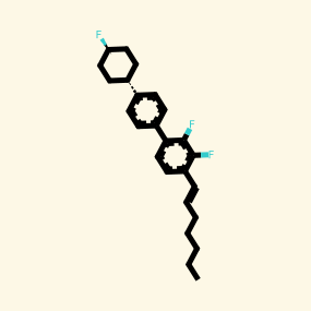 CCCCCC=Cc1ccc(-c2ccc([C@H]3CC[C@H](F)CC3)cc2)c(F)c1F